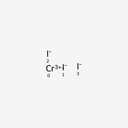 [Cr+3].[I-].[I-].[I-]